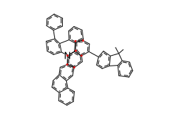 CC1(C)c2ccccc2-c2ccc(-c3cccc(N(c4ccc5c(ccc6ccccc65)c4)c4cccc(-c5ccccc5)c4-c4ccccc4-c4ccccc4)c3)cc21